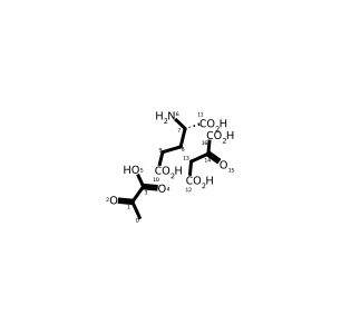 CC(=O)C(=O)O.N[C@@H](CCC(=O)O)C(=O)O.O=C(O)CC(=O)C(=O)O